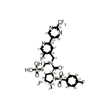 C[C@H]1[C@H](F)C[C@@H](C(=O)N(CSP(=O)(O)O)Cc2cc(-c3cnc(C(F)(F)F)nc3)ncc2F)N1S(=O)(=O)c1ccc(F)cc1